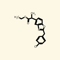 CCOC(=O)C(C)c1ccc2oc(Cc3ccc(Cl)cc3)nc2c1